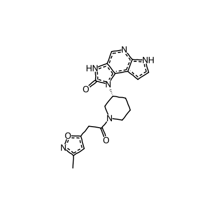 Cc1cc(CC(=O)N2CCC[C@@H](n3c(=O)[nH]c4cnc5[nH]ccc5c43)C2)on1